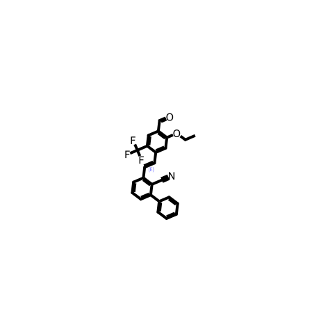 CCOc1cc(/C=C/c2cccc(-c3ccccc3)c2C#N)c(C(F)(F)F)cc1C=O